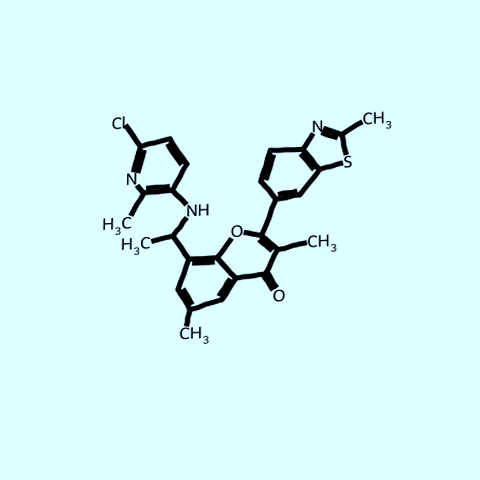 Cc1cc(C(C)Nc2ccc(Cl)nc2C)c2oc(-c3ccc4nc(C)sc4c3)c(C)c(=O)c2c1